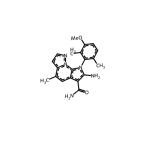 COc1ccc(C)c(-n2c(N)c(C(N)=O)c3cc(C)c4ccnn4c32)c1C